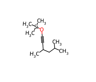 CC(C)CC(C)C#CO[Si](C)(C)C